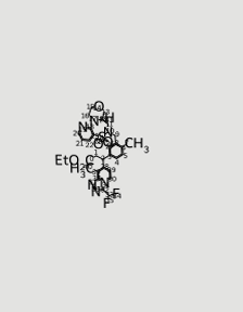 CCOC(=O)CC(c1ccc(C)c(CN2C[C@@H]3COCCN3c3ncccc3S2(=O)=O)c1)c1ccn2c(C(F)F)nnc2c1C